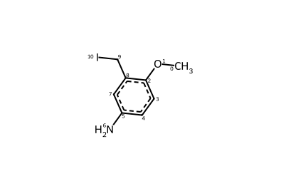 COc1ccc(N)cc1CI